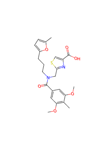 COc1cc(C(=O)N(CCCc2ccc(C)o2)Cc2nc(C(=O)O)cs2)cc(OC)c1C